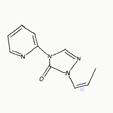 C/C=C\n1ncn(-c2ccccn2)c1=O